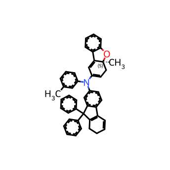 Cc1cccc(N(C2=CC[C@]3(C)Oc4ccccc4C3=C2)c2ccc3c(c2)C(c2ccccc2)(c2ccccc2)C2=C3C=CCC2)c1